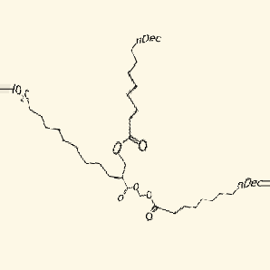 CCCCCCCCCCCCCCCCCC(=O)OCOC(=O)C(CCCCCCCCCC(=O)O)COC(=O)CCCCCCCCCCCCCCCCC